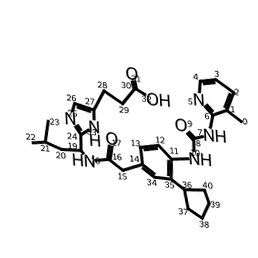 Cc1cccnc1NC(=O)Nc1ccc(CC(=O)NC(CC(C)C)c2ncc(CCC(=O)O)[nH]2)cc1C1CCCC1